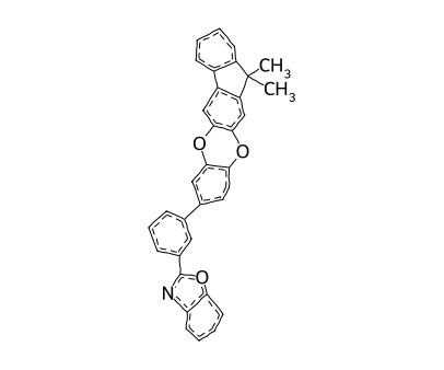 CC1(C)c2ccccc2-c2cc3c(cc21)Oc1ccc(-c2cccc(-c4nc5ccccc5o4)c2)cc1O3